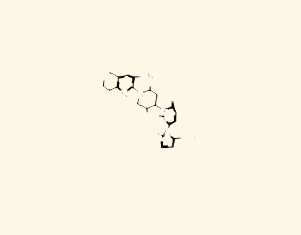 Cc1cc(C)n(-c2ccc(=O)n(C3CC(F)N(c4nc5c(cc4C#N)COCC5)CC3F)n2)n1